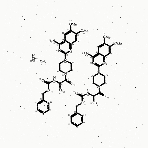 COc1cc2nc(N3CCN(C(=O)C(C)NC(=O)OCc4ccccc4)CC3)nc(N)c2cc1OC.COc1cc2nc(N3CCN(C(=O)C(C)NC(=O)OCc4ccccc4)CC3)nc(N)c2cc1OC.Cl.Cl.O